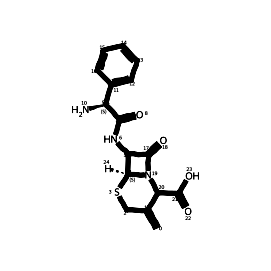 C=C1CS[C@H]2C(NC(=O)[C@@H](N)c3ccccc3)C(=O)N2C1C(=O)O